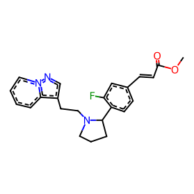 COC(=O)C=Cc1ccc(C2CCCN2CCc2cnn3ccccc23)c(F)c1